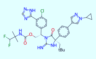 CC(C)(C)C[C@]1(c2ccc(-c3cnn(C4CC4)c3)cc2)NC(=N)N([C@H](COC(=O)NC(C)(C)C(F)F)c2ccc(Cl)c(-c3ncn[nH]3)c2)C1=O